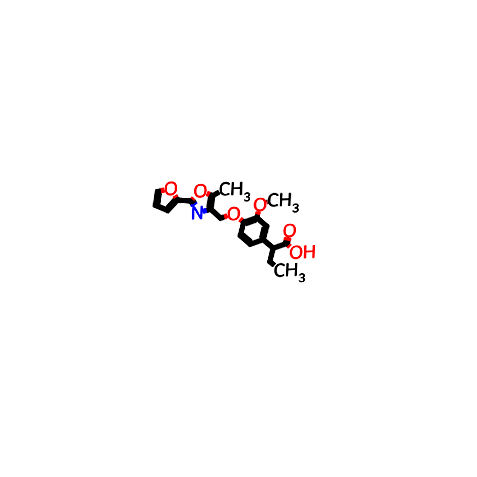 CCC(C(=O)O)c1ccc(OCc2nc(-c3ccco3)oc2C)c(OC)c1